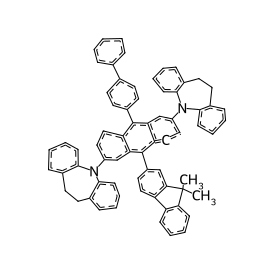 CC1(C)c2ccccc2-c2ccc(-c3c4ccc(N5c6ccccc6CCc6ccccc65)cc4c(-c4ccc(-c5ccccc5)cc4)c4ccc(N5c6ccccc6CCc6ccccc65)cc34)cc21